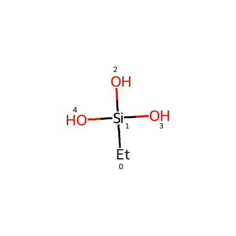 CC[Si](O)(O)O